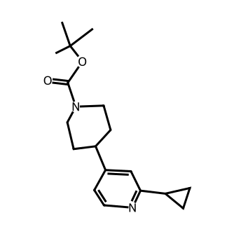 CC(C)(C)OC(=O)N1CCC(c2ccnc(C3CC3)c2)CC1